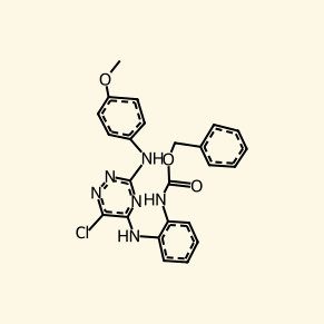 COc1ccc(Nc2nnc(Cl)c(Nc3ccccc3NC(=O)OCc3ccccc3)n2)cc1